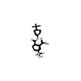 CC(C)(C)c1ccc(OC(=O)c2ccc(S(=O)(=O)O)cc2C(=O)O)cc1